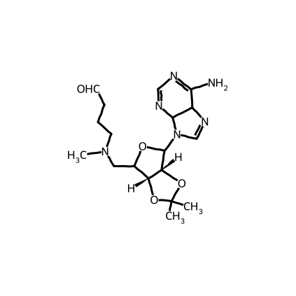 CN(CCCC=O)CC1OC(N2C=NC3C(N)=NC=NC32)[C@@H]2OC(C)(C)O[C@H]12